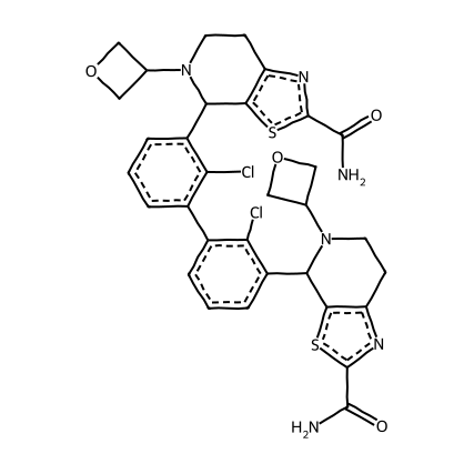 NC(=O)c1nc2c(s1)C(c1cccc(-c3cccc(C4c5sc(C(N)=O)nc5CCN4C4COC4)c3Cl)c1Cl)N(C1COC1)CC2